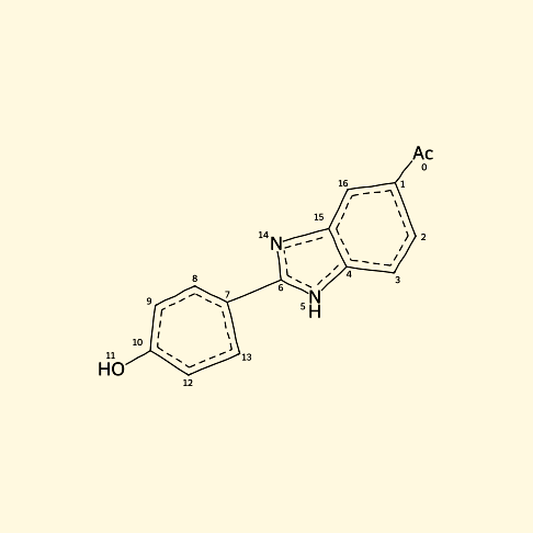 CC(=O)c1ccc2[nH]c(-c3ccc(O)cc3)nc2c1